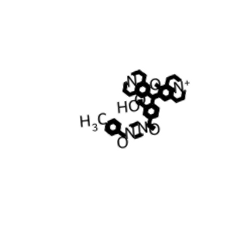 Cc1ccc(C(=O)N2CCN(C(=O)c3ccc(C4=c5cc6c7c(c5Oc5c4cc4c8c5CCCN8CCC4)CCC[N+]=7CCC6)c(C(=O)O)c3)CC2)cc1